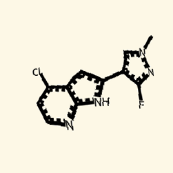 Cn1cc(-c2cc3c(Cl)ccnc3[nH]2)c(F)n1